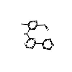 Cc1ccc(N=O)cc1Nc1nccc(-c2ccncc2)n1